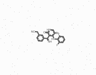 N#CCc1cccc(C(=N)c2c(Nc3c(F)cccc3F)c(Br)c[nH]c2=O)c1